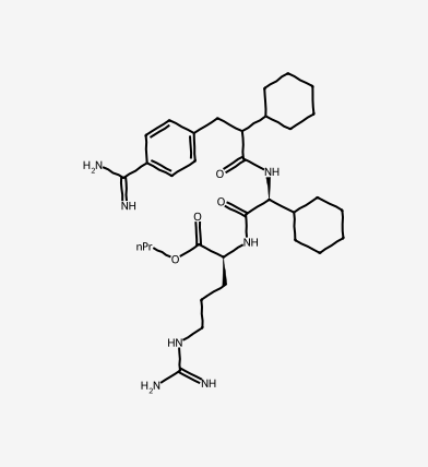 CCCOC(=O)[C@H](CCCNC(=N)N)NC(=O)[C@@H](NC(=O)C(Cc1ccc(C(=N)N)cc1)C1CCCCC1)C1CCCCC1